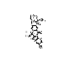 COCCOc1cc2c(cc1S(=O)(=O)N(C)C)C(=O)c1c([nH]c3cc(C#N)ccc13)C2(C)C